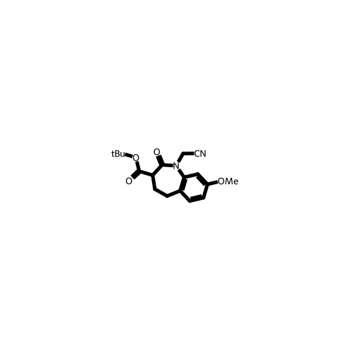 COc1ccc2c(c1)N(CC#N)C(=O)C(C(=O)OC(C)(C)C)CC2